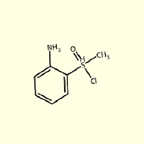 C[SH](=O)(Cl)c1ccccc1N